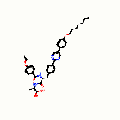 CCCCCCCOc1ccc(-c2cnc(-c3ccc(C[C@H](NC(=O)c4ccc(OCC)cc4)C(=O)N[C@H](C)C(O)O)cc3)nc2)cc1